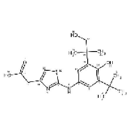 CC(C)(C)c1cc(Nc2nc(CC(=O)O)cs2)cc(C(C)(C)CO)c1O